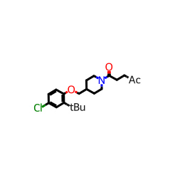 CC(=O)CCC(=O)N1CCC(COc2ccc(Cl)cc2C(C)(C)C)CC1